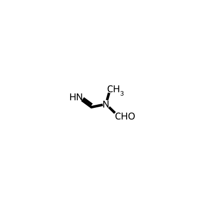 CN(C=N)C=O